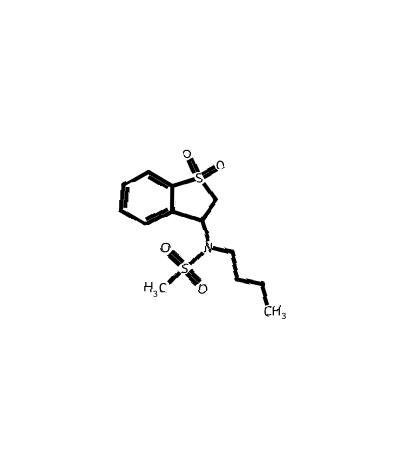 CCCCN(C1CS(=O)(=O)c2ccccc21)S(C)(=O)=O